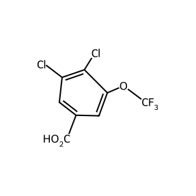 O=C(O)c1cc(Cl)c(Cl)c(OC(F)(F)F)c1